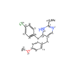 CSC1=NC=C(Cc2ccc(OC(C)C)cc2)C(Cc2ccc(Cl)cc2)N1